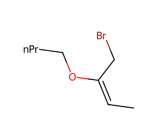 C/C=C(\CBr)OCCCC